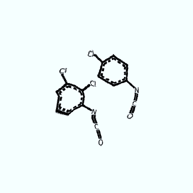 O=C=Nc1ccc(Cl)cc1.O=C=Nc1cccc(Cl)c1Cl